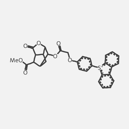 COC(=O)C1C2CC3C(OC(=O)C31)C2OC(=O)COc1ccc(-[s+]2c3ccccc3c3ccccc32)cc1